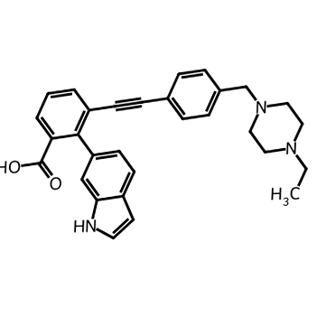 CCN1CCN(Cc2ccc(C#Cc3cccc(C(=O)O)c3-c3ccc4cc[nH]c4c3)cc2)CC1